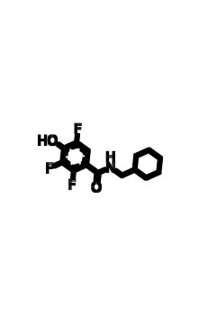 O=C(NCC1CCCCC1)c1cc(F)c(O)c(F)c1F